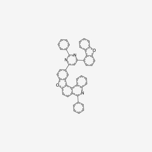 c1ccc(-c2nc(-c3ccc4oc5ccc6c(-c7ccccc7)nc7ccccc7c6c5c4c3)cc(-c3cccc4oc5ccccc5c34)n2)cc1